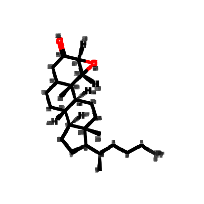 CC(C)CCC[C@@H](C)[C@H]1CC[C@H]2[C@@H]3CCC4CC(=O)[C@@H]5O[C@@H]5[C@]4(C)[C@H]3CC[C@]12C